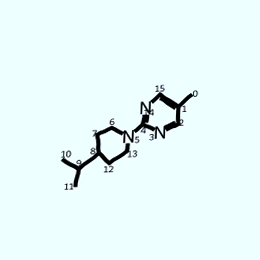 Cc1cnc(N2CCC(C(C)C)CC2)nc1